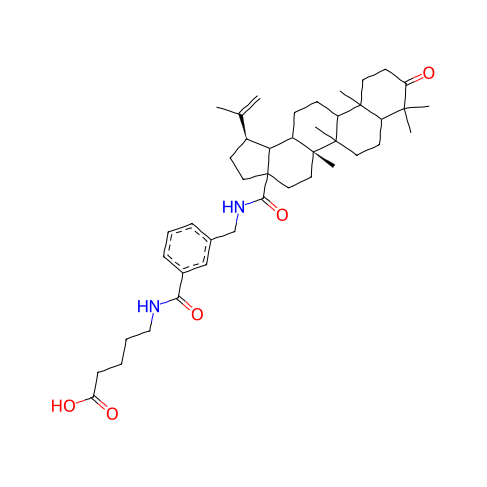 C=C(C)[C@@H]1CCC2(C(=O)NCc3cccc(C(=O)NCCCCC(=O)O)c3)CC[C@]3(C)C(CCC4C5(C)CCC(=O)C(C)(C)C5CCC43C)C12